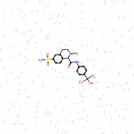 CC(=O)N1CCc2cc(S(N)(=O)=O)ccc2C1C(=O)Nc1ccc(C(O)(C(F)(F)F)C(F)(F)F)cc1